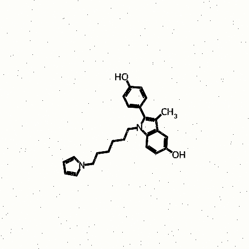 Cc1c(-c2ccc(O)cc2)n(CCCCCCn2cccc2)c2ccc(O)cc12